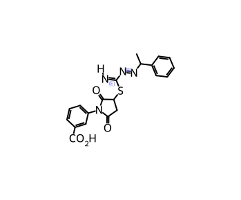 [H]/N=C(\N=N\C(C)c1ccccc1)SC1CC(=O)N(c2cccc(C(=O)O)c2)C1=O